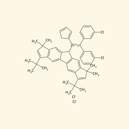 CC(C)(C)C1=CC(C)(C)c2cc3c(cc21)-c1cc2c(cc1[CH]3[Zr+2]([C]1=CC=CC1)=[C](c1cccc(Cl)c1)c1cccc(Cl)c1)C(C)(C)C=C2C(C)(C)C.[Cl-].[Cl-]